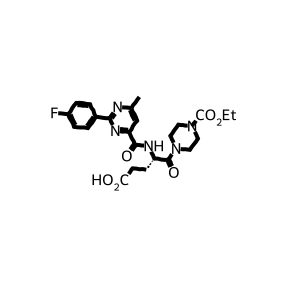 CCOC(=O)N1CCN(C(=O)[C@H](CCC(=O)O)NC(=O)c2cc(C)nc(-c3ccc(F)cc3)n2)CC1